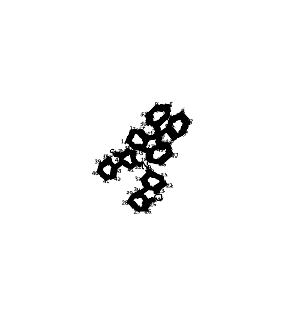 c1ccc(C2(c3ccccc3)c3ccccc3-c3c(N(c4ccc5oc6ccccc6c5c4)c4ccc5sc6ccccc6c5c4)cccc32)cc1